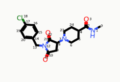 CNC(=O)C1CCN(C2CC(=O)N(Cc3ccc(Cl)cc3)C2=O)CC1